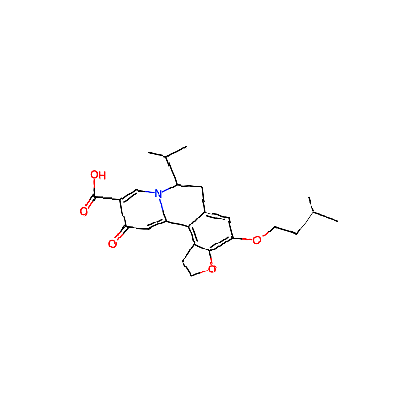 CC(C)CCOc1cc2c(c3c1OCC3)-c1cc(=O)c(C(=O)O)cn1C(C(C)C)C2